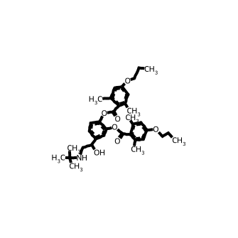 CCCOc1cc(C)c(C(=O)Oc2ccc(C(O)CNC(C)(C)C)cc2OC(=O)c2c(C)cc(OCCC)cc2C)c(C)c1